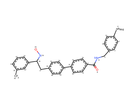 CCCCCc1ccc(CNC(=O)c2ccc(-c3ccc(CC([N][O])c4cccc(C(F)(F)F)c4)cc3)cc2)cc1